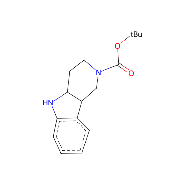 CC(C)(C)OC(=O)N1CCC2Nc3ccccc3C2C1